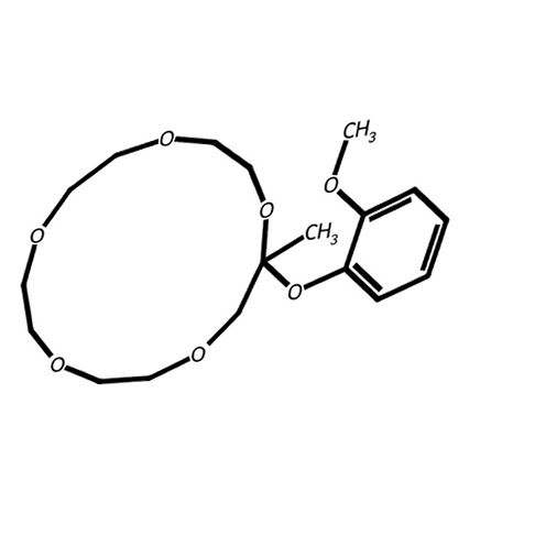 COc1ccccc1OC1(C)COCCOCCOCCOCCO1